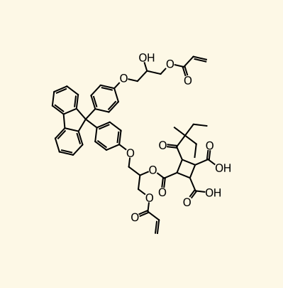 C=CC(=O)OCC(O)COc1ccc(C2(c3ccc(OCC(COC(=O)C=C)OC(=O)C4C(C(=O)O)C(C(=O)O)C4C(=O)C(C)(CC)CC)cc3)c3ccccc3-c3ccccc32)cc1